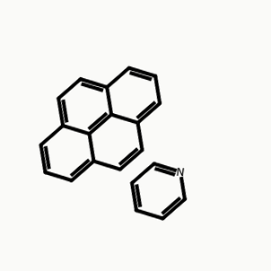 c1cc2ccc3cccc4ccc(c1)c2c34.c1ccncc1